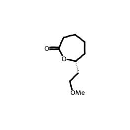 COCC[C@H]1CCCCC(=O)O1